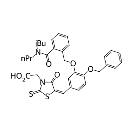 CCCN(C(=O)c1ccccc1COc1cc(C=C2SC(=S)N(CC(=O)O)C2=O)ccc1OCc1ccccc1)C(C)CC